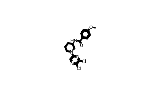 COc1ccc(C(=O)N[C@@H]2CCCN(c3cnc(Cl)c(Cl)n3)C2)cc1